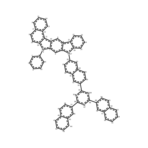 c1ccc(-n2c3cc4c(cc3c3c5ccccc5ccc32)c2ccccc2n4-c2ccc3cc(-c4nc(-c5ccc6ccccc6c5)nc(-c5ccc6ccccc6c5)n4)ccc3c2)cc1